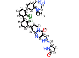 CN1CCNCc2ccc(-c3cccc(-c4cccc(-c5ccn6c(=O)c(CNC[C@@H]7CCC(=O)N7)cnc6c5)c4Cl)c3Cl)cc21